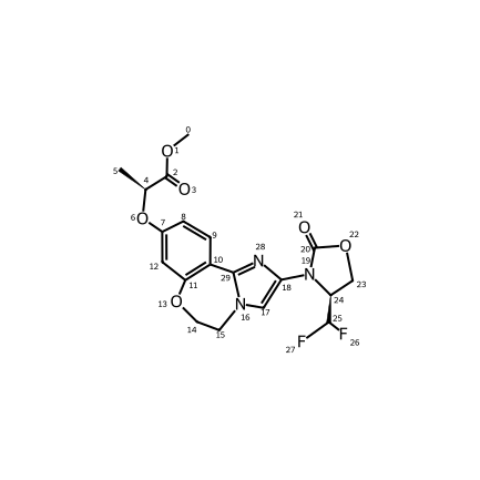 COC(=O)[C@H](C)Oc1ccc2c(c1)OCCn1cc(N3C(=O)OC[C@H]3C(F)F)nc1-2